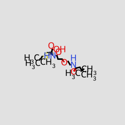 CC(C)(C)CSC[C@H](NC(=O)CCOCCNC(=O)CC(C)(C)C)C(=O)O